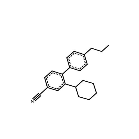 CCCc1ccc(-c2ccc(C#N)cc2C2CCCCC2)cc1